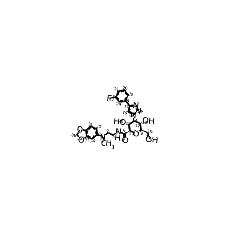 CN(CCNC(=O)[C@@H]1O[C@H](CO)[C@H](O)[C@H](n2cc(-c3cccc(F)c3)nn2)[C@H]1O)c1ccc2c(c1)OCO2